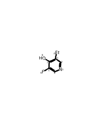 CCc1cncc(F)c1O